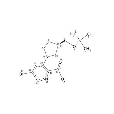 CC(C)(C)OC[C@@H]1CCN(c2cc(Br)cnc2[N+](=O)[O-])C1